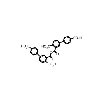 O=C(O)c1ccc(-c2ccc(C(=O)O)c(C(=O)OC(=O)c3cc(-c4ccc(C(=O)O)cc4)ccc3C(=O)O)c2)cc1